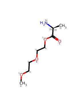 COCCOCCOC(=O)[C@H](C)N